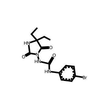 CCC1(CC)NC(=O)N(NC(=O)Nc2ccc(Br)cc2)C1=O